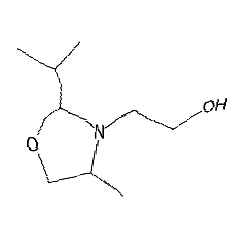 CC(C)C1OCC(C)N1CCO